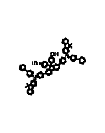 CC(C)(C)c1ccc(C2(c3ccc(O)cc3)c3cc(-c4ccc(N(c5ccc(-c6ccccc6)cc5)c5ccc6c(c5)C(C)(C)c5ccccc5-6)cc4)ccc3C3C=CC(c4ccc(N(c5ccc(C6CC=CCC6)cc5)c5ccc6c(c5)C(C)(C)c5ccccc5-6)cc4)=CC32)cc1